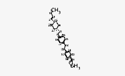 CC/C=C/[C@H]1CC[C@H](CCc2ccc(CCc3ccc(COC)cc3)cc2)CC1